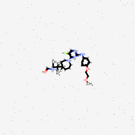 COCCOc1ccc(Nc2ncc(F)c(N3CCCC(C)(C(C)(C)C(C)NC=O)CC3)n2)cc1